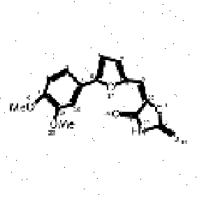 COc1ccc(-c2ccc(C=C3OC(=S)NC3=O)o2)cc1OC